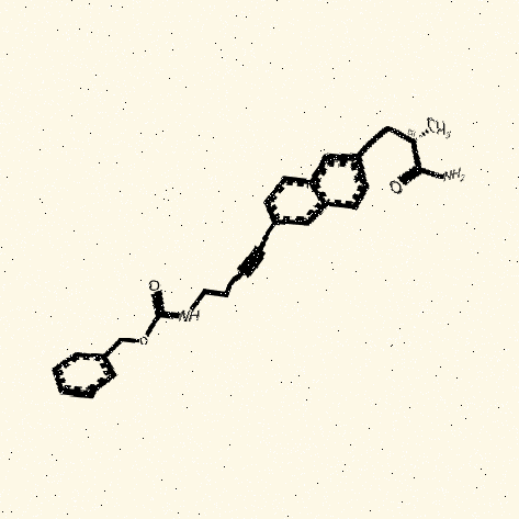 C[C@@H](Cc1ccc2cc(C#CCCNC(=O)OCc3ccccc3)ccc2c1)C(N)=O